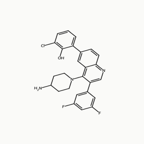 NC1CCN(c2c(-c3cc(F)cc(F)c3)cnc3ccc(-c4cccc(Cl)c4O)cc23)CC1